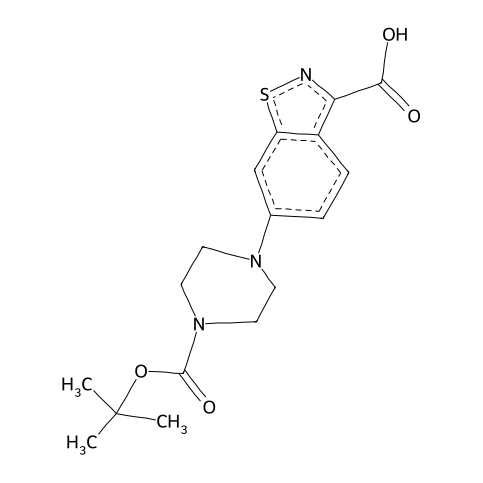 CC(C)(C)OC(=O)N1CCN(c2ccc3c(C(=O)O)nsc3c2)CC1